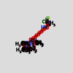 CN(C(=O)c1ccc(Cl)c(-c2cnc(C(F)(F)F)cc2C#N)c1)c1ccccc1OCCC(=O)NCCOCCOCCOCCOCCOCCOCCOCCOCCNC(=O)[C@@H](CCCCNC(=O)CN1CCN(CC(=O)OC(C)(C)C)CCN(CC(=O)OC(C)(C)C)CCN(CC(=O)OC(C)(C)C)CC1)NC(=O)[C@@H](CCC(=O)OC(C)(C)C)NC(=O)CCCc1ccc(I)cc1